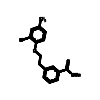 COC(=O)c1cccc(CCOc2ccc(C(F)(F)F)cc2Cl)c1